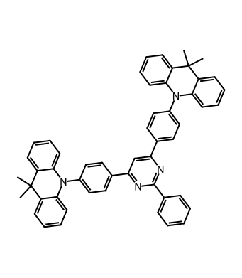 CC1(C)c2ccccc2N(c2ccc(-c3cc(-c4ccc(N5c6ccccc6C(C)(C)c6ccccc65)cc4)nc(-c4ccccc4)n3)cc2)c2ccccc21